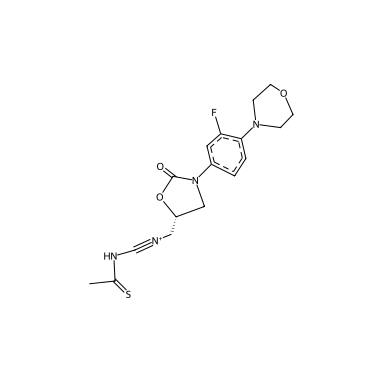 CC(=S)NC#[N+]C[C@H]1CN(c2ccc(N3CCOCC3)c(F)c2)C(=O)O1